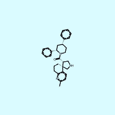 Cc1ccc2c(n1)CCC[C@]21CNC[C@H]1C(=O)N1CC[C@@H](c2ccccc2)C[C@H]1c1ccccc1